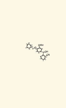 COc1cc(C(O)c2ccccc2C#N)ccc1OCc1ccccc1